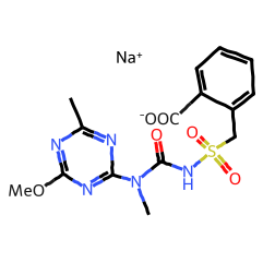 COc1nc(C)nc(N(C)C(=O)NS(=O)(=O)Cc2ccccc2C(=O)[O-])n1.[Na+]